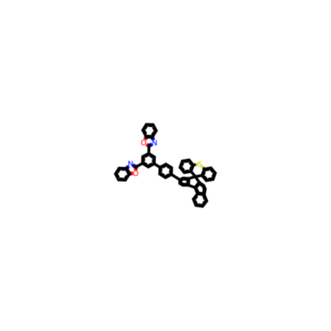 c1ccc2c(c1)Sc1ccccc1C21c2cc(-c3ccc(-c4cc(-c5nc6ccccc6o5)cc(-c5nc6ccccc6o5)c4)cc3)ccc2-c2c1ccc1ccccc21